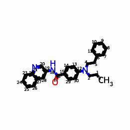 CCCN(CCc1ccccc1)c1ccc(C(=O)Nc2cnc3ccccc3c2)cc1